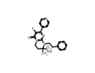 CC1(C)CCn2c(nc(-c3ccncc3)c(F)c2=O)N1C[C@@H](O)c1ccccc1